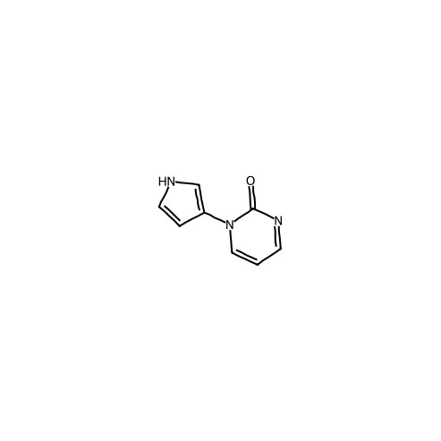 O=c1ncccn1-c1cc[nH]c1